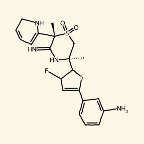 C[C@]1(C2=CC=CCN2)C(=N)N[C@](C)(C2SC(c3cccc(N)c3)=CC2F)CS1(=O)=O